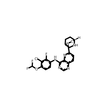 Fc1c(Nc2ncnc3ccc(N4C[C@@H]5CCC4CN5)nc23)ccc(OC(F)F)c1Cl